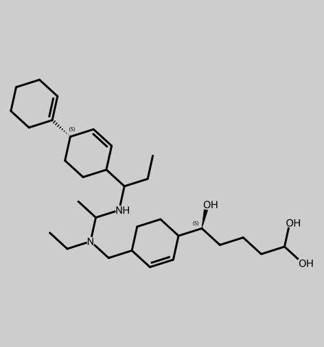 CCC(NC(C)N(CC)CC1C=CC([C@@H](O)CCCC(O)O)CC1)C1C=C[C@@H](C2=CCCCC2)CC1